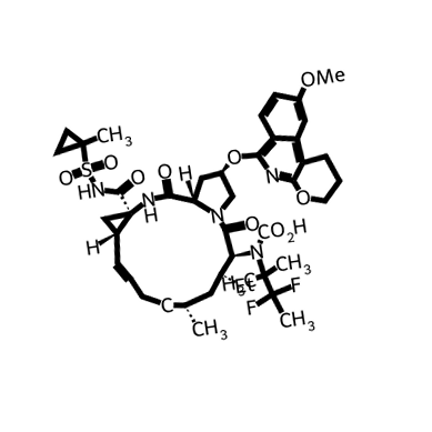 CC[C@@H]1C[C@H](C)CC/C=C\[C@@H]2C[C@@]2(C(=O)NS(=O)(=O)C2(C)CC2)NC(=O)[C@@H]2C[C@@H](Oc3nc4c(c5cc(OC)ccc35)CCCO4)CN2C(=O)[C@H]1N(C(=O)O)C(C)(C)C(C)(F)F